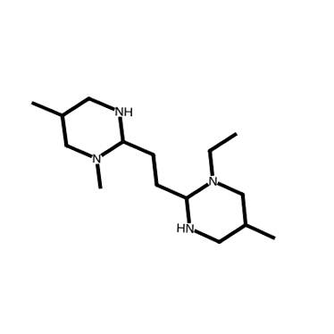 CCN1CC(C)CNC1CCC1NCC(C)CN1C